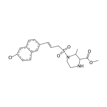 COC(=O)C1NCCN(S(=O)(=O)CC=Cc2ccc3cc(Cl)ccc3c2)C1C